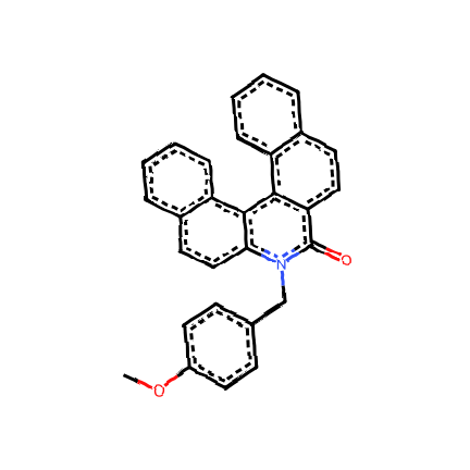 COc1ccc(Cn2c(=O)c3ccc4ccccc4c3c3c4ccccc4ccc32)cc1